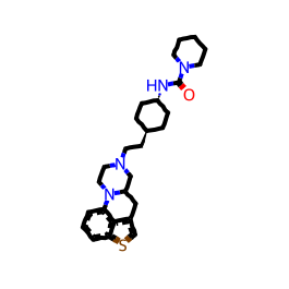 O=C(N[C@H]1CC[C@H](CCN2CCN3c4cccc5scc(c45)CC3C2)CC1)N1CCCCC1